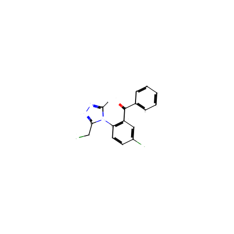 Cc1nnc(CBr)n1-c1ccc(Br)cc1C(=O)c1ccccc1